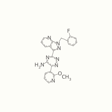 COc1ncccc1-c1nnc(-c2nn(Cc3ccccc3F)c3ncccc23)nc1N